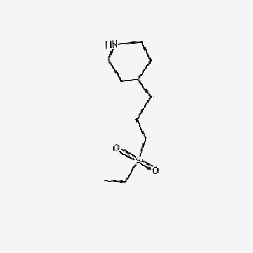 CCS(=O)(=O)CC[CH]C1CCNCC1